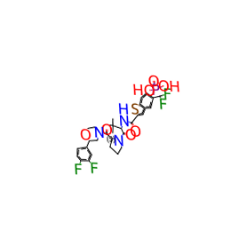 CC(C)(C)C(NC(=O)c1cc2cc(C(F)(F)P(=O)(O)O)ccc2s1)C(=O)N1CCC[C@H]1C(=O)N1CCOC(c2ccc(F)c(F)c2)C1